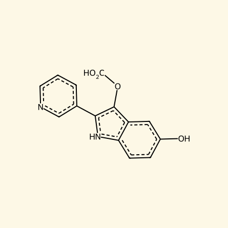 O=C(O)Oc1c(-c2cccnc2)[nH]c2ccc(O)cc12